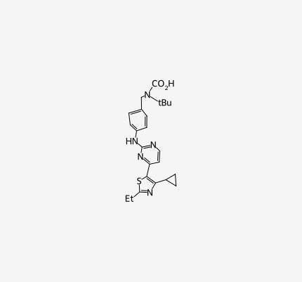 CCc1nc(C2CC2)c(-c2ccnc(Nc3ccc(CN(C(=O)O)C(C)(C)C)cc3)n2)s1